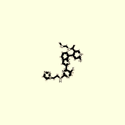 COCOC(C)c1cnc(F)cc1-c1cccc2cc(-c3nc(NCCn4ccnn4)ncc3F)sc12